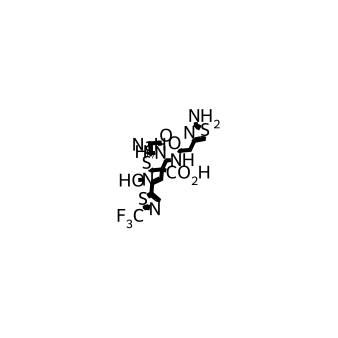 Nc1nc(CC(=O)NC2N3C(=O)C[C@H]3SC(=NO)C2(C=Cc2cnc(C(F)(F)F)s2)C(=O)O)cs1.[NaH]